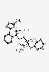 Cc1csc(-c2ccccc2C(NC(=O)O)C2C[C@@H](C)N(Cc3ccccc3)[C@H](C)C2)n1